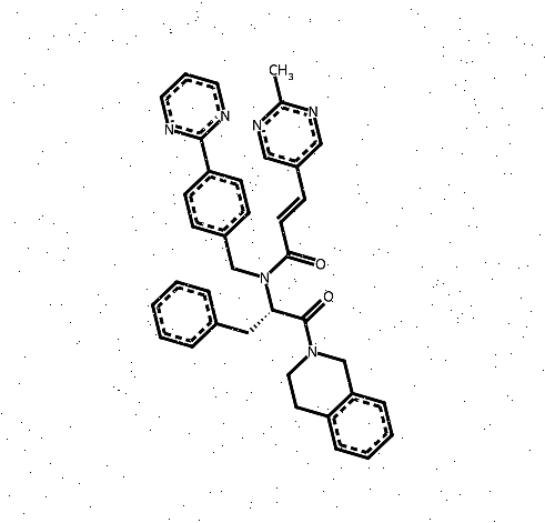 Cc1ncc(C=CC(=O)N(Cc2ccc(-c3ncccn3)cc2)[C@@H](Cc2ccccc2)C(=O)N2CCc3ccccc3C2)cn1